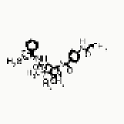 C=CC(=O)Nc1ccc(C(=O)Nc2nn(C)c3c2CN(C(=O)N[C@H](CN(C)C)c2ccccc2)C3(C)C)cc1